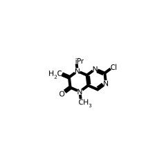 C=C1C(=O)N(C)c2cnc(Cl)nc2N1C(C)C